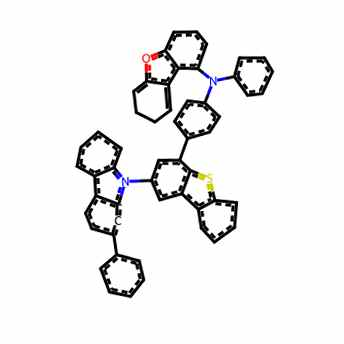 C1=c2oc3cccc(N(c4ccccc4)c4ccc(-c5cc(-n6c7ccccc7c7ccc(-c8ccccc8)cc76)cc6c5sc5ccccc56)cc4)c3c2=CCC1